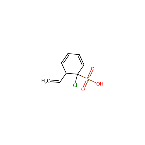 C=CC1C=CC=CC1(Cl)S(=O)(=O)O